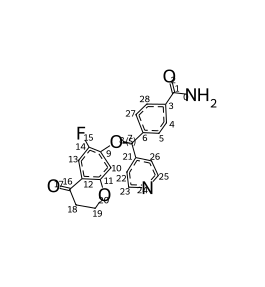 NC(=O)c1ccc([C@H](Oc2cc3c(cc2F)C(=O)CCO3)c2ccncc2)cc1